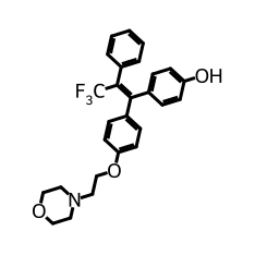 Oc1ccc(C(=C(c2ccccc2)C(F)(F)F)c2ccc(OCCN3CCOCC3)cc2)cc1